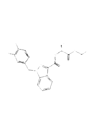 CC(C)(C)[C@H](NC(=O)c1nn(Cc2ccc(F)c(F)c2)c2ccccc12)C(=O)NCC(=O)O